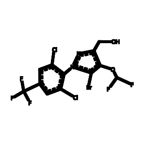 OCc1nn(-c2c(Cl)cc(C(F)(F)F)cc2Cl)c(Br)c1OC(F)F